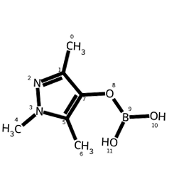 Cc1nn(C)c(C)c1OB(O)O